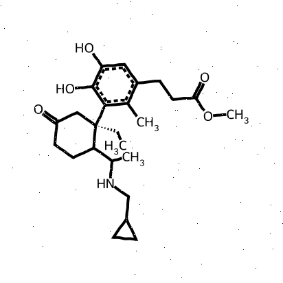 CC[C@@]1(c2c(C)c(CCC(=O)OC)cc(O)c2O)CC(=O)CCC1C(C)NCC1CC1